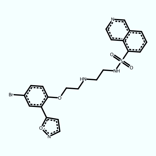 O=S(=O)(NCCNCCOc1ccc(Br)cc1-c1ccno1)c1cccc2cnccc12